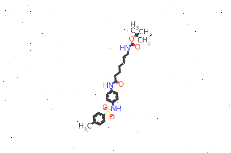 Cc1ccc(S(=O)(=O)Nc2ccc(NC(=O)CCCCCCNC(=O)OC(C)(C)C)cc2)cc1